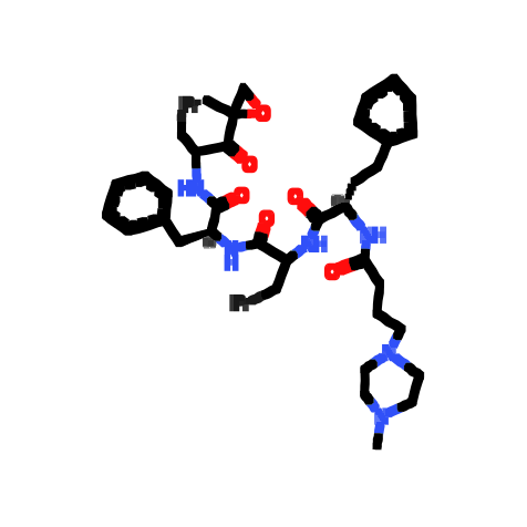 CC(C)CC(NC(=O)[C@H](CCc1ccccc1)NC(=O)CCCN1CCN(C)CC1)C(=O)N[C@@H](Cc1ccccc1)C(=O)NC(CC(C)C)C(=O)C1(C)CO1